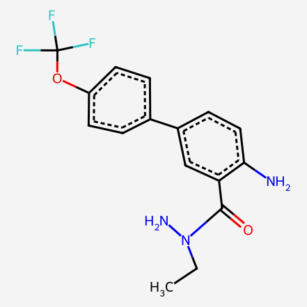 CCN(N)C(=O)c1cc(-c2ccc(OC(F)(F)F)cc2)ccc1N